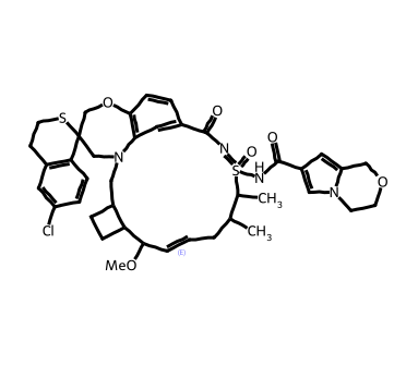 COC1/C=C/CC(C)C(C)S(=O)(NC(=O)c2cc3n(c2)CCOC3)=NC(=O)c2ccc3c(c2)N(CC2CCC21)CC1(CO3)SCCc2cc(Cl)ccc21